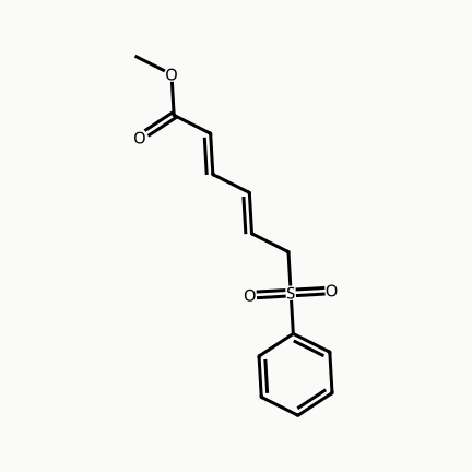 COC(=O)/C=C/C=C/CS(=O)(=O)c1ccccc1